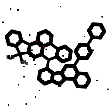 CC1(C)c2ccccc2-c2ccc(N(c3ccccc3-c3ccccc3)c3cccc4oc5c6ccccc6c(-c6ccc(-c7ccccc7)cc6)cc5c34)cc21